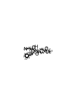 CC(C)(C)OC(=O)N1CCN(C(=O)NC(CSCc2ccccc2)C(=O)NCC#N)CC1